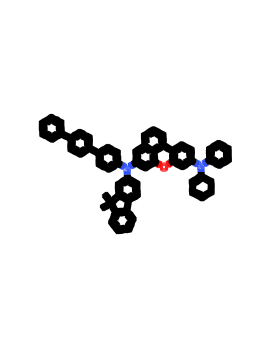 CC1(C)c2ccccc2-c2ccc(N(c3ccc(-c4ccc(-c5ccccc5)cc4)cc3)c3cc4c5c(cccc5c3)-c3ccc(N(C5=CC=CCC5)c5ccccc5)cc3O4)cc21